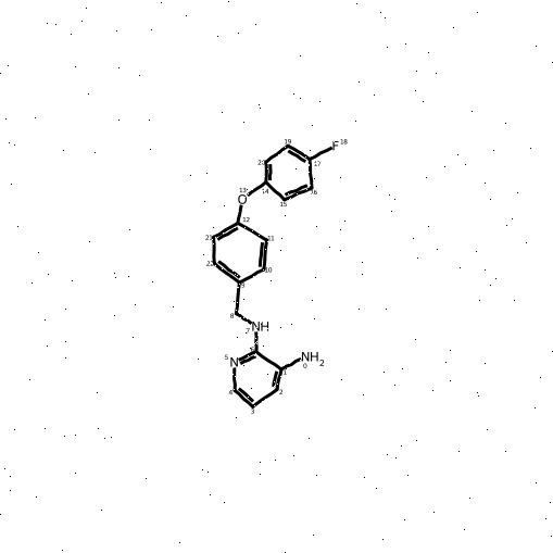 Nc1cccnc1NCc1ccc(Oc2ccc(F)cc2)cc1